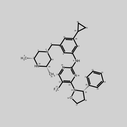 C[C@@H]1CN(Cc2cc(Nc3ncc(C(F)(F)F)c(N4OCC[C@H]4c4ccccc4)n3)cc(C3CC3)c2)C[C@H](C)N1